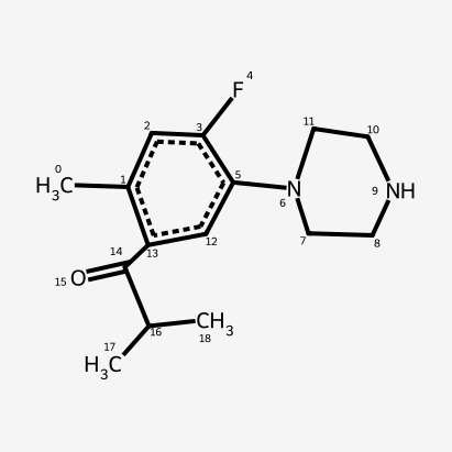 Cc1cc(F)c(N2CCNCC2)cc1C(=O)C(C)C